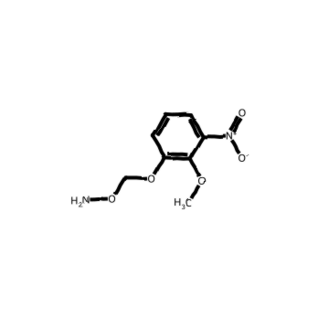 COc1c(OCON)cccc1[N+](=O)[O-]